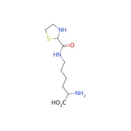 NC(CCCCNC(=O)C1NCCS1)C(=O)O